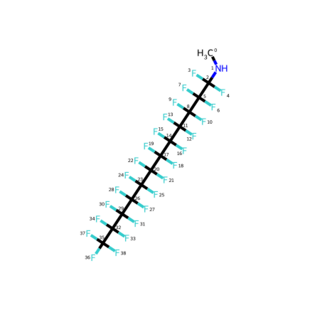 CNC(F)(F)C(F)(F)C(F)(F)C(F)(F)C(F)(F)C(F)(F)C(F)(F)C(F)(F)C(F)(F)C(F)(F)C(F)(F)C(F)(F)F